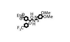 CCS(=O)(=O)c1ccc(C(Oc2ccc(C(F)(F)F)cc2)C(O)Nc2nc3cc(OC)c(OC)cc3s2)cc1